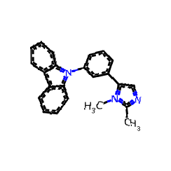 Cc1ncc(-c2cccc(-n3c4ccccc4c4ccccc43)c2)n1C